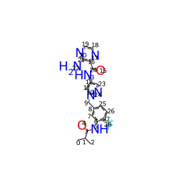 CC(C)C(=O)Nc1cc(Cn2cc(NC(=O)c3nccnc3N)cn2)ccc1F